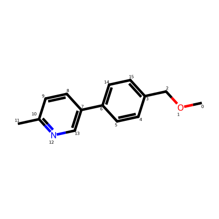 COCc1ccc(-c2ccc(C)nc2)cc1